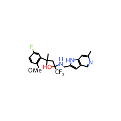 COc1ccc(F)cc1C(C)(C)CC(O)(NCc1cc2cnc(C)cc2[nH]1)C(F)(F)F